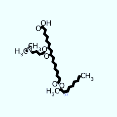 CCCCCC/C=C\C(C)OC(=O)CCCCCCCC(CCCCCCCC(=O)O)OC(=O)CCCN(C)C